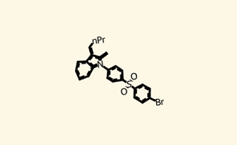 C=c1/c(=C\CCC)c2ccccc2n1-c1ccc(S(=O)(=O)c2ccc(Br)cc2)cc1